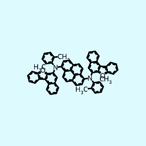 Cc1cccc(C)c1N(c1ccc2ccc3c(N(c4c(C)cccc4C)c4cc5ccccc5c5c4oc4ccccc45)ccc4ccc1c2c43)c1cc2ccccc2c2c1oc1ccccc12